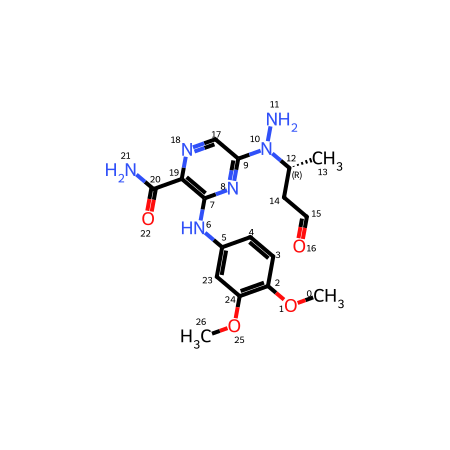 COc1ccc(Nc2nc(N(N)[C@H](C)CC=O)cnc2C(N)=O)cc1OC